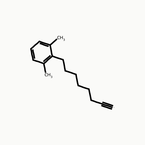 [C]#CCCCCCCc1c(C)cccc1C